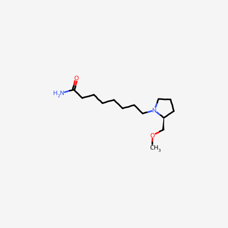 COC[C@@H]1CCCN1CCCCCCCC(N)=O